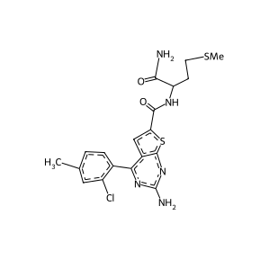 CSCCC(NC(=O)c1cc2c(-c3ccc(C)cc3Cl)nc(N)nc2s1)C(N)=O